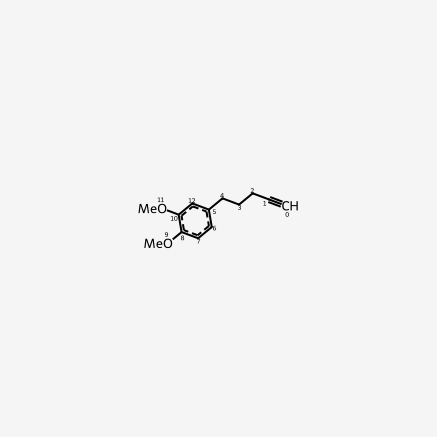 C#CCCCc1ccc(OC)c(OC)c1